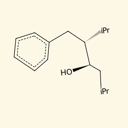 CC(C)C[C@@H](O)[C@H](Cc1ccccc1)C(C)C